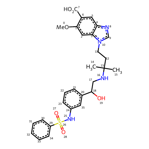 COc1cc2c(cc1C(=O)O)ncn2CCC(C)(C)NCC(O)c1cccc(NS(=O)(=O)c2ccccc2)c1